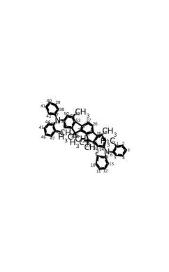 Cc1ccccc1N(c1ccccc1)c1cc(C)c2c(c1)C(C)(C)c1c-2ccc2c1C(C)(C)c1cc(N(c3ccccc3)c3ccccc3C)cc(C)c1-2